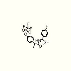 CC(C(=O)NC(c1ccc(F)cc1)N(C)C)c1ccc(OS(=O)(=O)C(F)(F)F)cc1